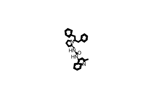 Cc1cc(NC(=O)NC[C@H]2CCCN2C(Cc2ccccc2)Cc2ccccc2)c2ccccc2n1